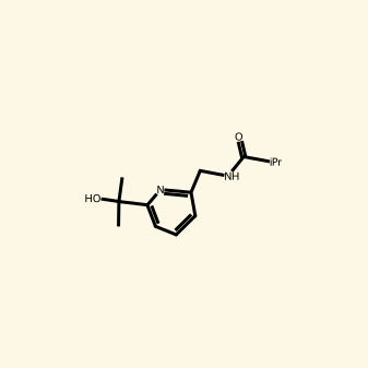 CC(C)C(=O)NCc1cccc(C(C)(C)O)n1